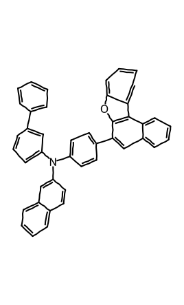 c1ccc(-c2cccc(N(c3ccc(-c4cc5ccccc5c5c4oc4ccccc45)cc3)c3ccc4ccccc4c3)c2)cc1